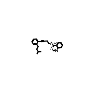 C=C(C)CCc1ccccc1C#CCCNc1ncnc2ccccc12